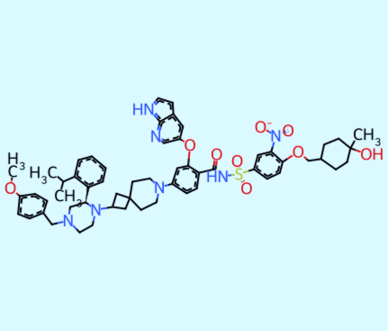 COc1ccc(CN2CCN(C3CC4(CCN(c5ccc(C(=O)NS(=O)(=O)c6ccc(OCC7CCC(C)(O)CC7)c([N+](=O)[O-])c6)c(Oc6cnc7[nH]ccc7c6)c5)CC4)C3)[C@H](c3ccccc3C(C)C)C2)cc1